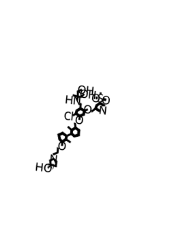 Cc1c(COc2cc(OCc3cncc(S(C)(=O)=O)c3)c(CNC(C)(CO)CO)cc2Cl)cccc1-c1cccc(OCCCN2CC[C@@H](O)C2)c1C